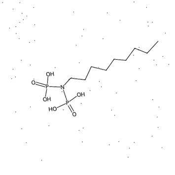 CCCCCCCCCN(P(=O)(O)O)P(=O)(O)O